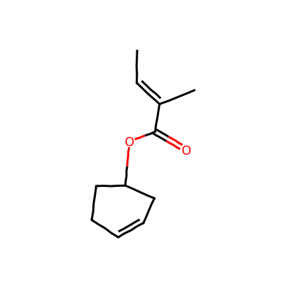 CC=C(C)C(=O)OC1CC=CCC1